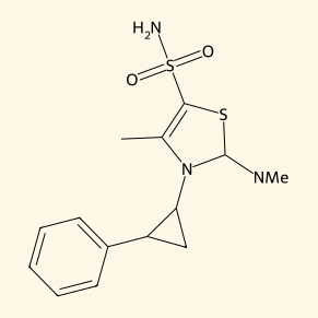 CNC1SC(S(N)(=O)=O)=C(C)N1C1CC1c1ccccc1